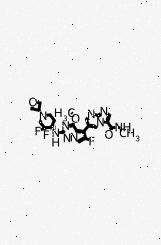 CNC(=O)c1cnc2ncc(-c3c(F)cn4nc(N[C@@H]5CCN(C6COC6)CC5(F)F)nc(OC)c34)cn12